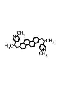 Cc1ccc(C(C)Cc2ccc3c(c2)=CCc2c4c(ccc2=3)=CC(CC(C)c2ccc(C)nc2)CC4)cn1